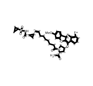 COc1ccc2c(c1)oc1c(O[C@@H]3C[C@@H](C(N)=O)N(C(=O)CCCCCC/C=C\[C@@H]4C[C@@H]4C(=O)NS(=O)(=O)C4CC4)C3)c3cccc(F)c3nc12